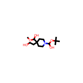 COC(O)C1(CCO)CCN(C(O)OC(C)(C)C)CC1